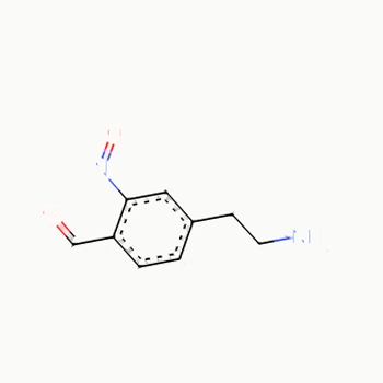 NCCc1ccc(C=O)c(N=O)c1